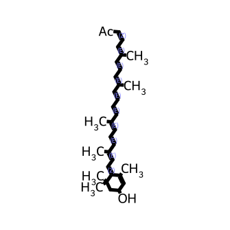 CC(=O)\C=C/C=C(C)/C=C/C=C(C)/C=C/C=C/C(C)=C/C=C/C(C)=C/C=C1\C(C)=CC(O)CC1(C)C